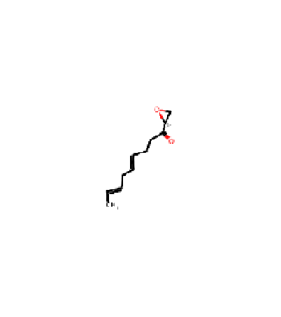 CC=CCC=CCCC(=O)[C@@H]1CO1